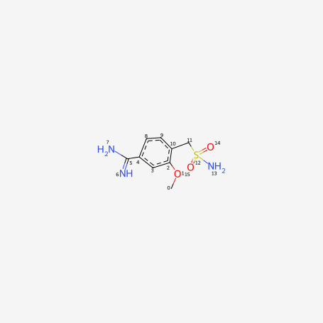 COc1cc(C(=N)N)ccc1CS(N)(=O)=O